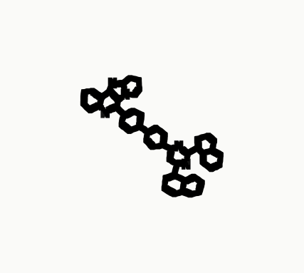 C1=Cn2c(nc3c4ccccc4nc(-c4ccc(-c5ccc(-c6cc(-c7cccc8ccccc78)nc(-c7cccc8ccccc78)n6)cc5)cc4)c32)CC1